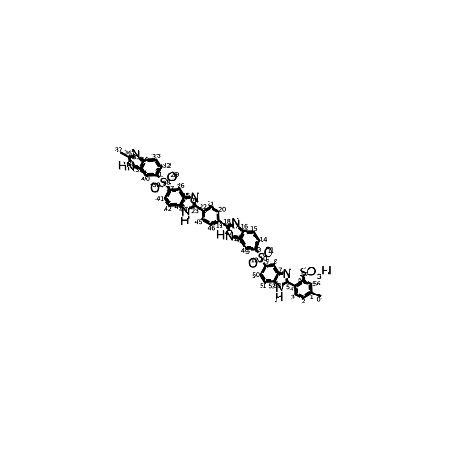 Cc1ccc(-c2nc3cc(S(=O)(=O)c4ccc5nc(-c6ccc(-c7nc8cc(S(=O)(=O)c9ccc%10nc(C)[nH]c%10c9)ccc8[nH]7)cc6)[nH]c5c4)ccc3[nH]2)c(S(=O)(=O)O)c1